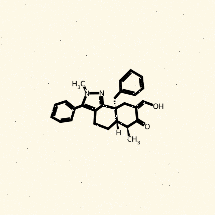 C[C@@H]1C(=O)/C(=C\O)C[C@]2(Cc3ccccc3)c3nn(C)c(-c4ccccc4)c3CC[C@@H]12